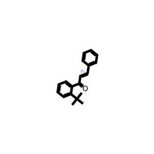 CC(C)(C)c1ccccc1C(=O)/C=C/c1ccccc1